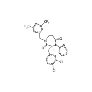 C[C@]1(Cc2ccc(Cl)c(Cl)c2)C(=O)N(Cc2cc(C(F)(F)F)cc(C(F)(F)F)c2)CCC(=O)N1c1ccccn1